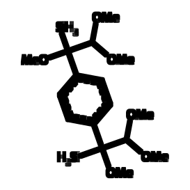 COC(OC)C([SiH3])(OC)c1ccc(C([SiH3])(OC)C(OC)OC)cc1